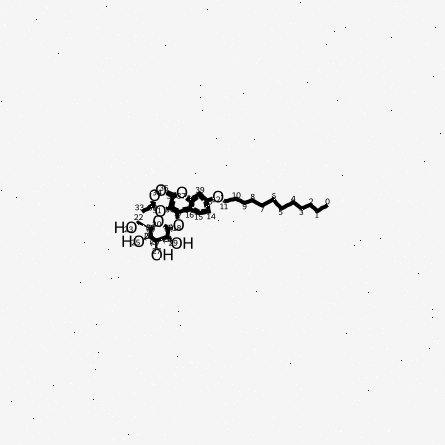 CCCCCCCCCCCCOc1ccc2c(O[C@H]3O[C@H](CO)[C@@H](O)[C@H](O)[C@@H]3O)c(OC(C)=O)c(=O)oc2c1